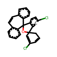 ClC1=CC2(CC=C1)OC1(c3ccccc3C=Cc3ccccc31)c1ccc(Cl)cc12